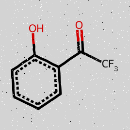 O=C(c1ccccc1O)C(F)(F)F